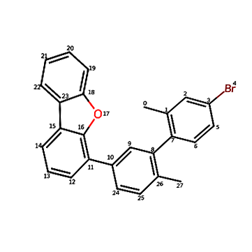 Cc1cc(Br)ccc1-c1cc(-c2cccc3c2oc2ccccc23)ccc1C